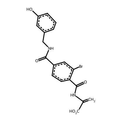 C=C(NC(=O)c1ccc(C(=O)NCc2cccc(O)c2)cc1Br)C(=O)O